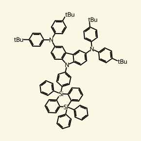 CC(C)(C)c1ccc(N(c2ccc(C(C)(C)C)cc2)c2ccc3c(c2)c2cc(N(c4ccc(C(C)(C)C)cc4)c4ccc(C(C)(C)C)cc4)ccc2n3-c2ccc([Si]3(c4ccccc4)c4ccccc4[Si](c4ccccc4)(c4ccccc4)c4ccccc43)cc2)cc1